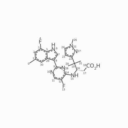 Cc1cc(F)c2[nH]cc(-c3ncc(F)c(N[C@@H](CC(=O)O)C(C)(C)c4ccn(C)n4)n3)c2c1